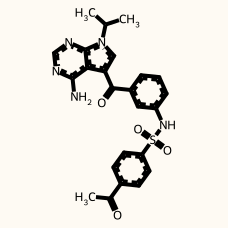 CC(=O)c1ccc(S(=O)(=O)Nc2cccc(C(=O)c3cn(C(C)C)c4ncnc(N)c34)c2)cc1